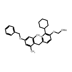 COCOc1ccc(Cc2c(C)cc(OCc3ccccc3)cc2C)nc1C1CCCCC1